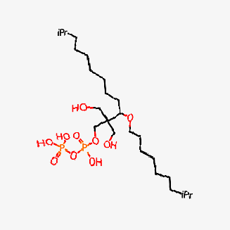 CC(C)CCCCCCCOC(CCCCCCCC(C)C)C(CO)(CO)COP(=O)(O)OP(=O)(O)O